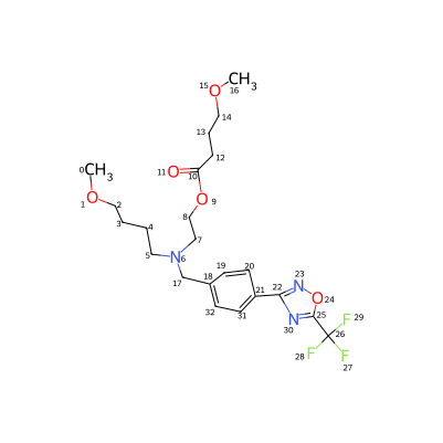 COCCCCN(CCOC(=O)CCCOC)Cc1ccc(-c2noc(C(F)(F)F)n2)cc1